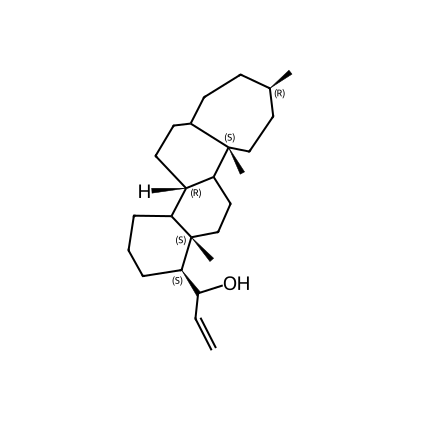 C=CC(O)[C@H]1CCCC2[C@@H]3CCC4CC[C@@H](C)CC[C@]4(C)C3CC[C@@]21C